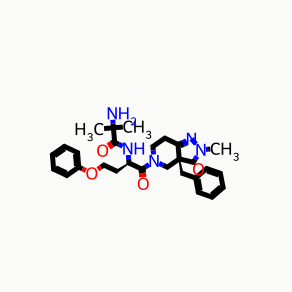 CN1N=C2CCN(C(=O)[C@@H](CCOc3ccccc3)NC(=O)C(C)(C)N)C[C@@]2(Cc2ccccc2)C1=O